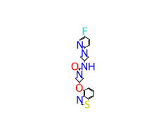 O=C(NC1CN(c2ccc(F)cn2)C1)N1CC(Oc2cccc3scnc23)C1